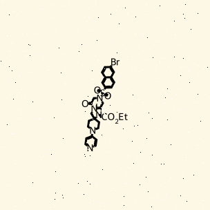 CCOC(=O)NC1(CN2CCN(S(=O)(=O)c3ccc4cc(Br)ccc4c3)CC2=O)CCN(c2ccncc2)CC1